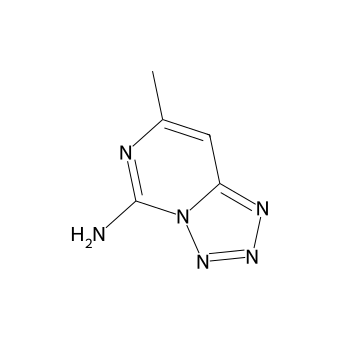 Cc1cc2nnnn2c(N)n1